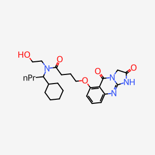 CCCC(C1CCCCC1)N(CCO)C(=O)CCCOc1cccc2nc3n(c(=O)c12)CC(=O)N3